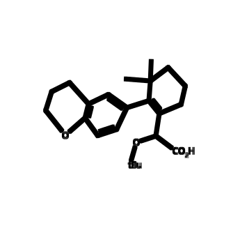 CC(C)(C)OC(C(=O)O)C1=C(c2ccc3c(c2)CCCO3)C(C)(C)CCC1